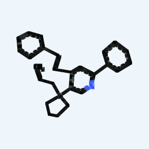 C=CC[Si]1(c2cnc(-c3ccccc3)cc2/C=C/c2ccccc2)CCCC1